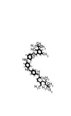 C=C(/C=C\C(=C/C)CC(C)CC(C)(C)C)Nc1ccc(Nc2ccc(Nc3ccc(NCc4cc(C)cc(C(C)(C)C)c4O)cc3)cc2)cc1